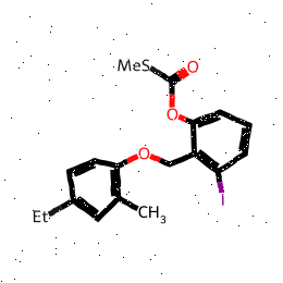 CCc1ccc(OCc2c(I)cccc2OC(=O)SC)c(C)c1